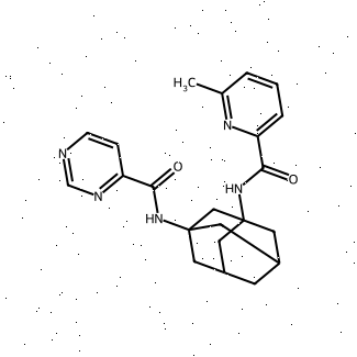 Cc1cccc(C(=O)NC23CC4CC(CC(NC(=O)c5ccncn5)(C4)C2)C3)n1